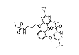 CCS(=O)(=O)NCCCOc1nc(C2CC2)nc(NS(=O)(=O)c2ccc(C(C)C)cn2)c1Oc1ccccc1OC